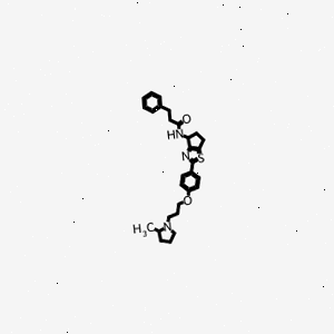 CC1CCCN1CCCOc1ccc(-c2nc3c(s2)CCC3NC(=O)CCc2ccccc2)cc1